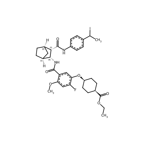 CCOC(=O)[C@H]1CC[C@@H](Oc2cc(C(=O)N[C@@H]3[C@H]4CC[C@H](C4)[C@@H]3C(=O)Nc3ccc(C(C)I)cc3)c(OC)cc2F)CC1